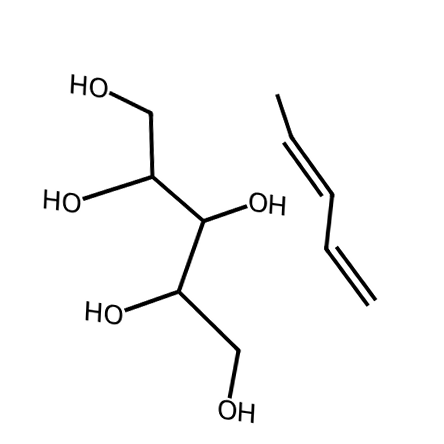 C=CC=CC.OCC(O)C(O)C(O)CO